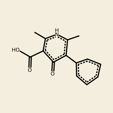 Cc1[nH]c(C)c(-c2ccccc2)c(=O)c1C(=O)O